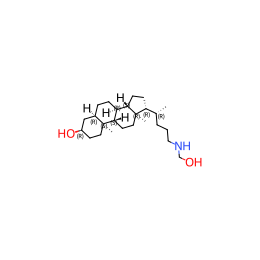 C[C@H](CCCNCO)[C@H]1CC[C@H]2[C@@H]3CC[C@@H]4C[C@H](O)CC[C@]4(C)[C@H]3CC[C@]12C